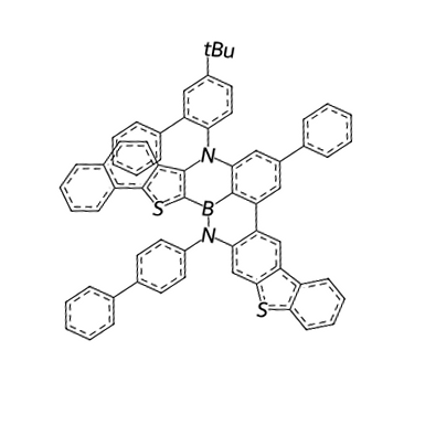 CC(C)(C)c1ccc(N2c3cc(-c4ccccc4)cc4c3B(c3sc5c(ccc6ccccc65)c32)N(c2ccc(-c3ccccc3)cc2)c2cc3sc5ccccc5c3cc2-4)c(-c2ccccc2)c1